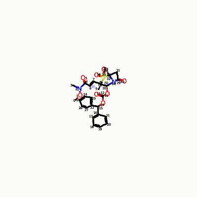 CON(C)C(=O)/C=C/[C@@]1(C)[C@H](OC(=O)OC(c2ccccc2)c2ccccc2)N2C(=O)C[C@H]2S1(=O)=O